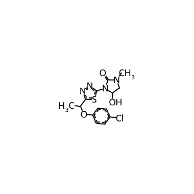 CC(Oc1ccc(Cl)cc1)c1nnc(N2C(=O)N(C)CC2O)s1